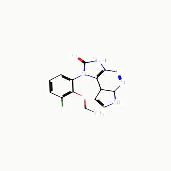 N#CCOc1c(F)cccc1-n1c2c([nH]c1=O)N=NC1NC=CC21